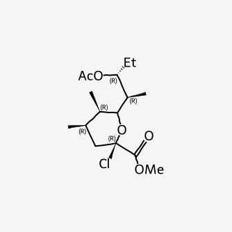 CC[C@@H](OC(C)=O)[C@@H](C)C1O[C@](Cl)(C(=O)OC)C[C@@H](C)[C@H]1C